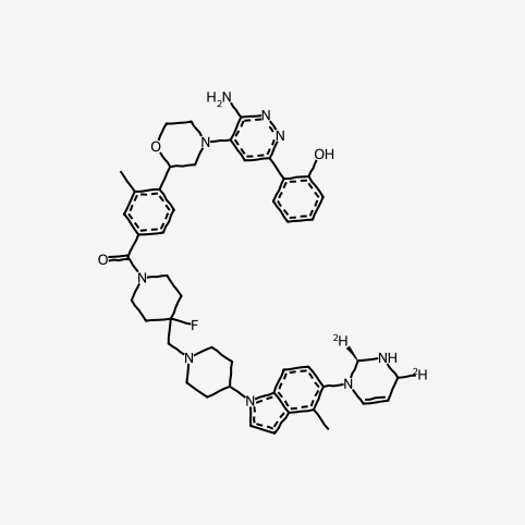 [2H]C1C=CN(c2ccc3c(ccn3C3CCN(CC4(F)CCN(C(=O)c5ccc(C6CN(c7cc(-c8ccccc8O)nnc7N)CCO6)c(C)c5)CC4)CC3)c2C)[C@@H]([2H])N1